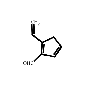 C=CC1=C(C=O)C=CC1